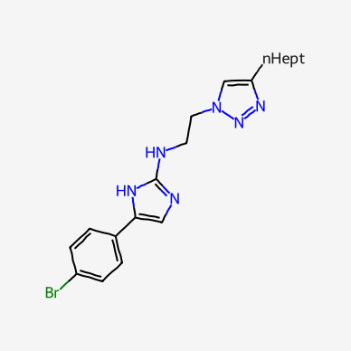 CCCCCCCc1cn(CCNc2ncc(-c3ccc(Br)cc3)[nH]2)nn1